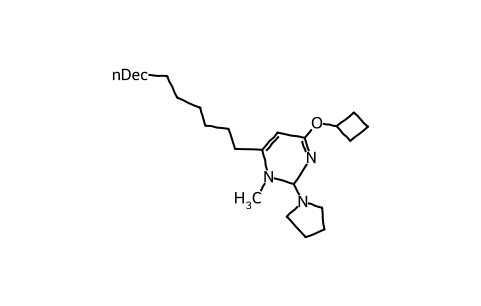 CCCCCCCCCCCCCCCCC1=CC(OC2CCC2)=NC(N2CCCC2)N1C